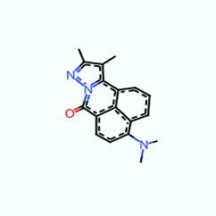 Cc1nn2c(=O)c3ccc(N(C)C)c4cccc(c43)c2c1C